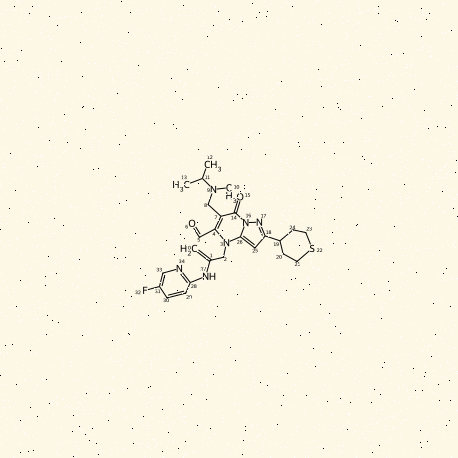 C=C(Cn1c(C=O)c(CN(C)C(C)C)c(=O)n2nc(C3CCSCC3)cc12)Nc1ccc(F)cn1